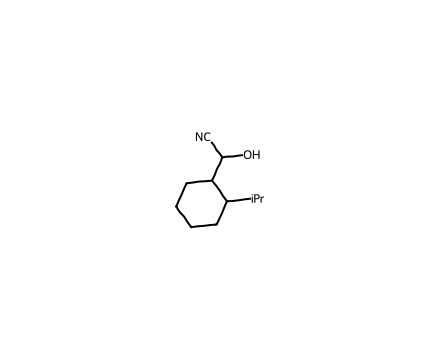 CC(C)C1CCCCC1C(O)C#N